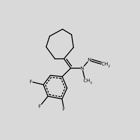 C=NN(C)C(=C1CCCCCC1)c1cc(F)c(F)c(F)c1